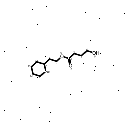 O=C(CCCO)OCCC1CCCCC1